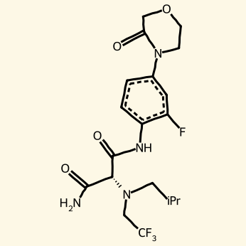 CC(C)CN(CC(F)(F)F)[C@H](C(N)=O)C(=O)Nc1ccc(N2CCOCC2=O)cc1F